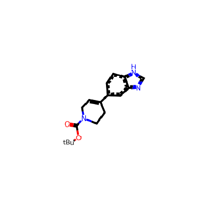 CC(C)(C)OC(=O)N1CC=C(c2ccc3[nH]cnc3c2)CC1